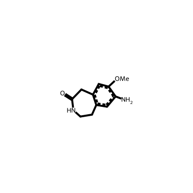 COc1cc2c(cc1N)CCNC(=O)C2